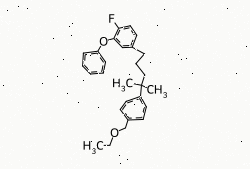 CCOCc1ccc(C(C)(C)CCCc2ccc(F)c(Oc3ccccc3)c2)cc1